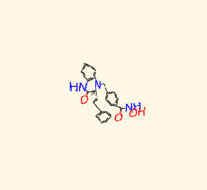 O=C(NO)c1ccc(CN2c3ccccc3NC(=O)[C@H]2C=Cc2ccccc2)cc1